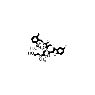 COc1cccc(F)c1CNC(=O)C1(C)COc2c(oc3ccc(F)cc23)C(=O)N1CC(=O)N(C)CCO